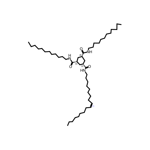 CCCCCCCC/C=C\CCCCCCCCNC(=O)[C@H]1C[C@@H](C(=O)NCCCCCCCCCCCC)C[C@@H](C(=O)NCCCCCCCCCCCC)C1